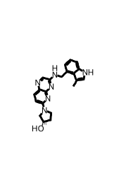 Cc1c[nH]c2cccc(CNc3cnc4ccc(N5CC[C@H](O)C5)nc4n3)c12